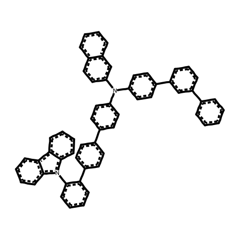 c1ccc(-c2cccc(-c3ccc(N(c4ccc(-c5ccc(-c6ccccc6-n6c7ccccc7c7ccccc76)cc5)cc4)c4ccc5ccccc5c4)cc3)c2)cc1